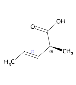 C/C=C/[C@H](C)C(=O)O